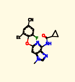 CCc1cc(C#N)cc(F)c1Oc1cc2c(ncn2C)c(NC(=O)C2CC2)n1